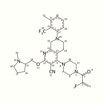 C=C(F)C(=O)N1CCN(c2c(C#N)c(OCC3CCCN3C)nc3c2CCN(c2cccc(C)c2C(F)(F)F)C3)CC1